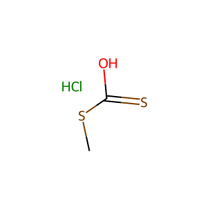 CSC(O)=S.Cl